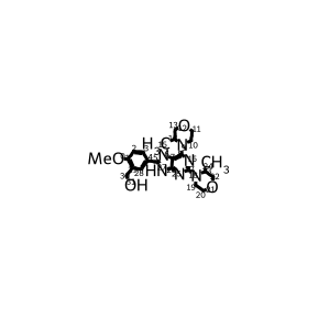 COc1ccc(-c2nc3c(N4CCOCC4C)nc(N4CCOCC4C)nc3[nH]2)cc1CO